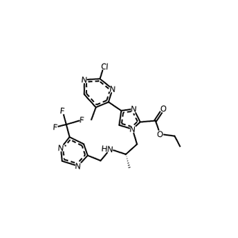 CCOC(=O)c1nc(-c2nc(Cl)ncc2C)cn1C[C@H](C)NCc1cc(C(F)(F)F)ncn1